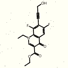 CCOC(=O)c1cn(CC)c2c(F)c(C#CCO)c(F)cc2c1=O